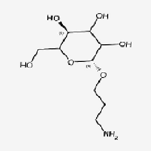 NCCCO[C@@H]1OC(CO)[C@@H](O)C(O)C1O